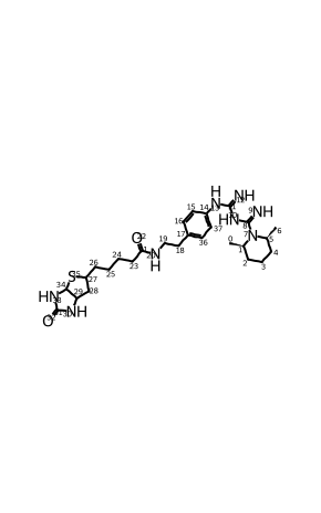 C[C@@H]1CCC[C@H](C)N1C(=N)NC(=N)Nc1ccc(CCNC(=O)CCCCC2CC3NC(=O)NC3S2)cc1